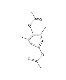 CC(=O)Oc1cc(C)c(OC(C)=O)c(C)c1